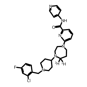 [2H]C1([2H])CCN(c2cccc(C(=O)Nc3ccncc3)n2)CCN1C1CCN(Cc2ccc(F)cc2Cl)CC1